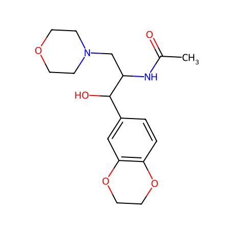 CC(=O)NC(CN1CCOCC1)C(O)c1ccc2c(c1)OCCO2